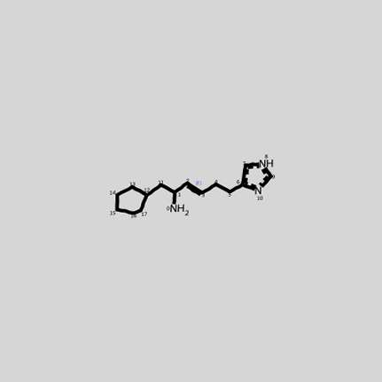 NC(/C=C/CCc1c[nH]cn1)CC1CCCCC1